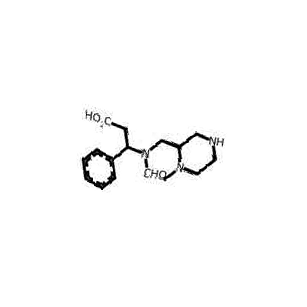 CN1CCNCC1CN(C=O)C(CC(=O)O)c1ccccc1